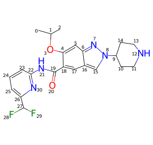 CC(C)Oc1cc2nn(C3CCNCC3)cc2cc1C(=O)Nc1cccc(C(F)F)n1